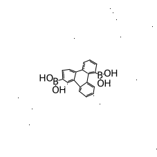 OB(O)c1ccc2c(c1)c1ccccc1c1c(B(O)O)cccc21